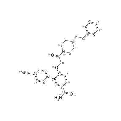 N#Cc1ccc(-c2cc(C(N)=O)ccc2OCC(=O)N2CCC(CCc3ccccc3)CC2)cc1